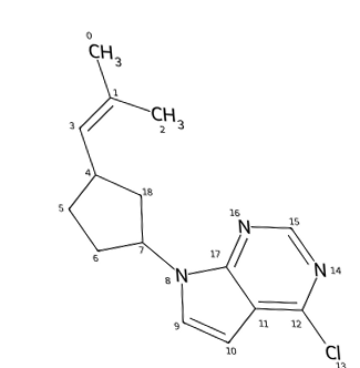 CC(C)=CC1CCC(n2ccc3c(Cl)ncnc32)C1